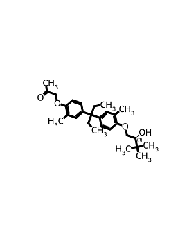 CCC(CC)(c1ccc(OCC(C)=O)c(C)c1)c1ccc(OC[C@H](O)C(C)(C)C)c(C)c1